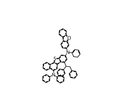 C1=CCCC(N(c2ccc3c(c2)oc2ccccc23)c2cc(C(Cc3ccccc3)c3ccccc3)c3c(c2)sc2c4ccccc4c(N(c4ccccc4)c4ccccc4)cc23)=C1